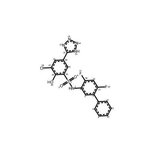 O=S(=O)(Nc1cc(-c2ccccc2)c(F)cc1F)c1cc(-c2nnn[nH]2)cc(Cl)c1O